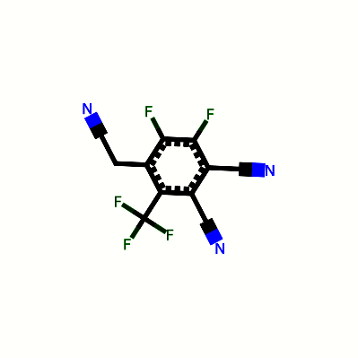 N#CCc1c(F)c(F)c(C#N)c(C#N)c1C(F)(F)F